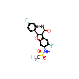 CNC(=O)c1c(-c2ccc(F)cc2)oc2cc(NS(C)(=O)=O)c(F)cc12